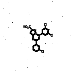 O=C(O)c1cc2nc(-c3cccc(Cl)c3)cc(-c3cc(Cl)cc(Cl)c3)n2n1